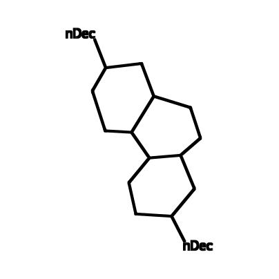 CCCCCCCCCCC1CCC2C(CCC3CC(CCCCCCCCCC)CCC32)C1